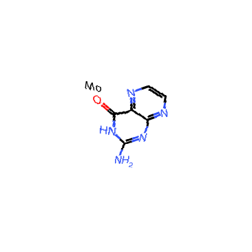 Nc1nc2nccnc2c(=O)[nH]1.[Mo]